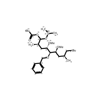 CO[C@@H](C[C@H](C)CC(C)(C)C)[C@@H](OCc1ccccc1)[C@H](C[C@@H](C)C(OC(=O)C(C)(C)C)O[SiH](C)C)OC